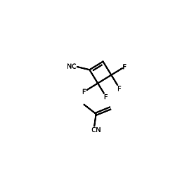 C=C(C)C#N.N#CC1=CC(F)(F)C1(F)F